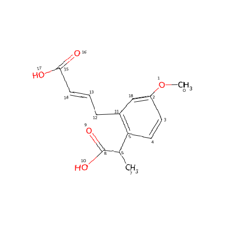 COc1ccc(C(C)C(=O)O)c(CC=CC(=O)O)c1